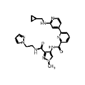 Cn1cc(NC(=O)c2cccc(-c3ccnc(NCC4CC4)c3)n2)c(C(=O)NCCn2cccn2)n1